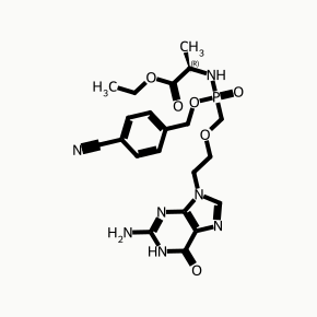 CCOC(=O)[C@@H](C)NP(=O)(COCCn1cnc2c(=O)[nH]c(N)nc21)OCc1ccc(C#N)cc1